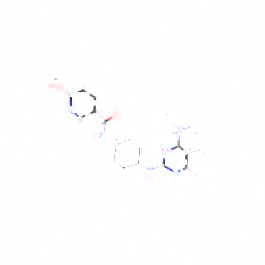 Cc1nc(N[C@H]2CC[C@@H](NC(=O)c3ccc(O)nc3)CC2)nc(N(C)C)c1C